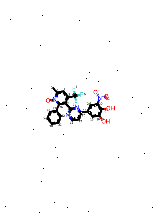 Cc1cc(C(F)(F)F)c(-c2nccc(-c3cc(O)c(O)c([N+](=O)[O-])c3)n2)c(-c2ccccc2)[n+]1[O-]